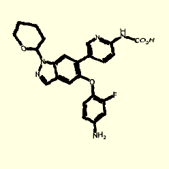 Nc1ccc(Oc2cc3cnn(C4CCCCO4)c3cc2-c2ccc(NC(=O)O)nc2)c(F)c1